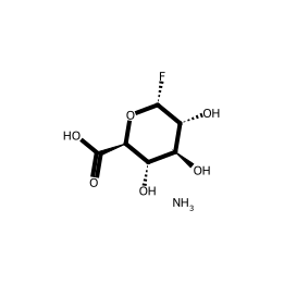 N.O=C(O)[C@H]1O[C@H](F)[C@H](O)[C@@H](O)[C@@H]1O